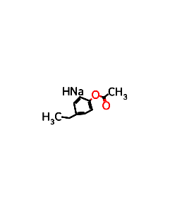 CCc1ccc(OC(C)=O)cc1.[NaH]